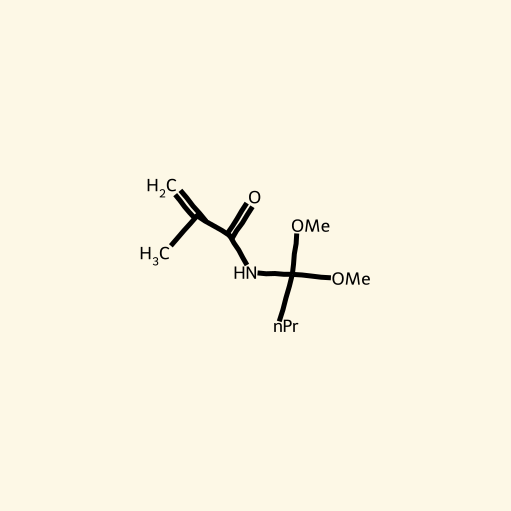 C=C(C)C(=O)NC(CCC)(OC)OC